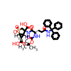 CC(C)(C)OC(=O)N[C@@H](CCC(=O)NC(c1ccccc1)(c1ccccc1)c1ccccc1)C(=O)N[C@@]1(C(=O)O)CS(=O)(=O)[C@H]2[C@H](C(=O)O)[C@H]21